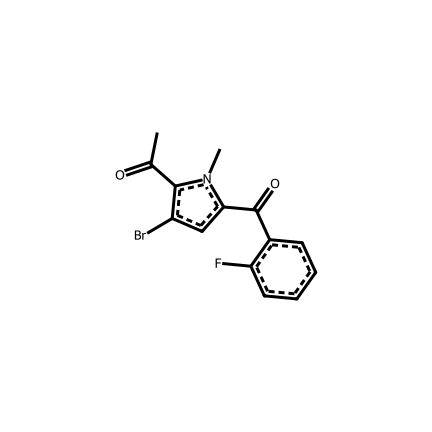 CC(=O)c1c(Br)cc(C(=O)c2ccccc2F)n1C